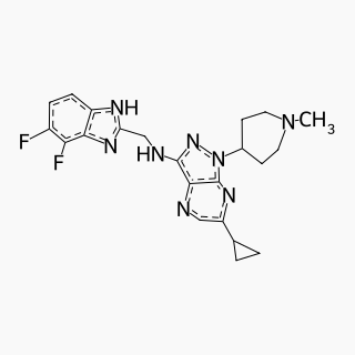 CN1CCC(n2nc(NCc3nc4c(F)c(F)ccc4[nH]3)c3ncc(C4CC4)nc32)CC1